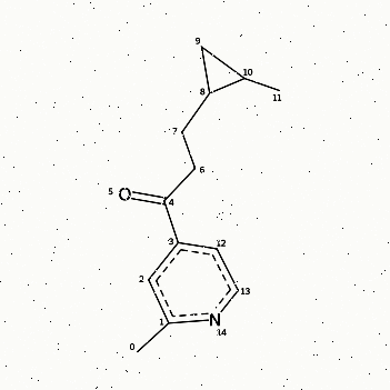 Cc1cc(C(=O)CCC2CC2C)ccn1